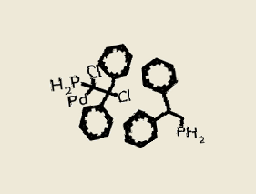 PCC(c1ccccc1)c1ccccc1.P[C](Cl)([Pd])C(Cl)(c1ccccc1)c1ccccc1